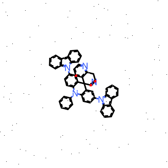 c1ccc(N2c3ccc(-n4c5ccccc5c5ccccc54)cc3C3(c4cc(-n5c6ccccc6c6ccccc65)ccc42)c2cccnc2Cc2ncccc23)cc1